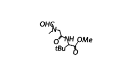 COC(=O)C(NC(=O)CN(C)C=O)C(C)(C)C